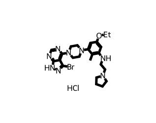 CCOc1cc(NCCN2CCCC2)c(C)c(N2CCN(c3ncnc4[nH]nc(Br)c34)CC2)c1.Cl